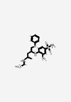 CC(CC(CSc1ccccc1)Nc1ccc(S(N)(=O)=O)cc1[N+](=O)[O-])NCC(=O)O